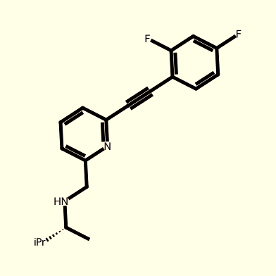 CC(C)[C@@H](C)NCc1cccc(C#Cc2ccc(F)cc2F)n1